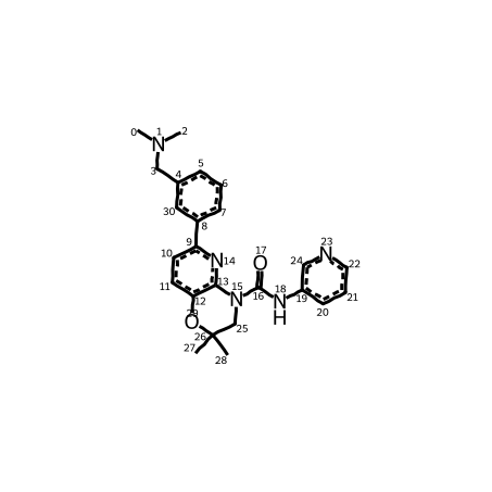 CN(C)Cc1cccc(-c2ccc3c(n2)N(C(=O)Nc2cccnc2)CC(C)(C)O3)c1